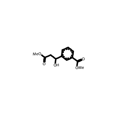 COC(=O)CC(O)c1cccc(C(=O)OC)c1